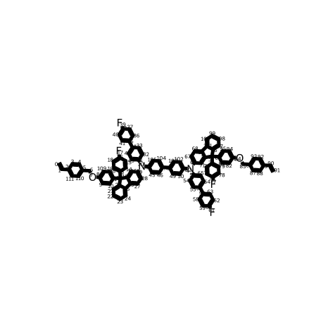 C=Cc1ccc(COc2ccc(C3(c4ccc(F)cc4)c4ccccc4-c4ccc(N(c5ccc(-c6ccc(F)cc6)cc5)c5ccc(-c6ccc(N(c7ccc(-c8ccc(F)cc8)cc7)c7ccc8c(c7)C(c7ccc(F)cc7)(c7ccc(OCc9ccc(C=C)cc9)cc7)c7ccccc7-8)cc6)cc5)cc43)cc2)cc1